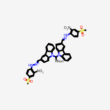 CCCCCCCCCC(n1c2ccccc2c2cc(/C=N/Nc3ccc(S(C)(=O)=O)cc3[N+](=O)[O-])ccc21)n1c2ccccc2c2cc(/C=N/Nc3ccc(S(C)(=O)=O)cc3[N+](=O)[O-])ccc21